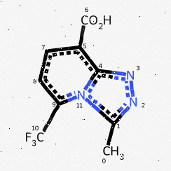 Cc1nnc2c(C(=O)O)ccc(C(F)(F)F)n12